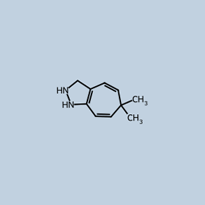 CC1(C)C=CC2=C(C=C1)NNC2